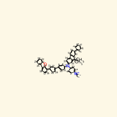 [C-]#[N+]c1ccc(N(c2ccc(-c3ccc(-c4cccc5c4oc4ccccc45)cc3)cc2)c2ccc3c(c2)C(C)(C)c2cc(-c4ccccc4)ccc2-3)cc1